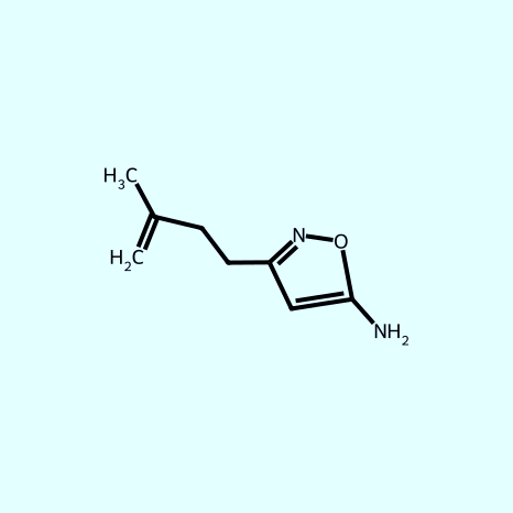 C=C(C)CCc1cc(N)on1